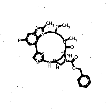 COC1CN(C)C(=O)[C@@H]2C[C@@H](CN2C(=O)OCc2ccccc2)Nc2ncc(s2)-c2cc(F)cc3nc(C)n(c23)C1